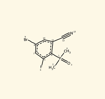 CP(C)(=O)c1c(F)cc(Br)cc1C#N